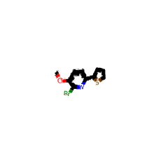 COc1ccc(-c2cccs2)nc1Br